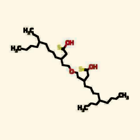 CCCCC(CCC)CCCCC(CCOCCC(CCCCC(CCC)CCCC)CC(O)=S)CC(O)=S